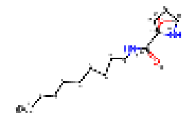 CCCCCCCCCCCCCCCCCCNC(=O)C12CCC(N1)O2